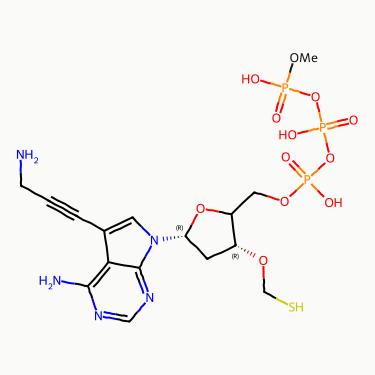 COP(=O)(O)OP(=O)(O)OP(=O)(O)OCC1O[C@@H](n2cc(C#CCN)c3c(N)ncnc32)C[C@H]1OCS